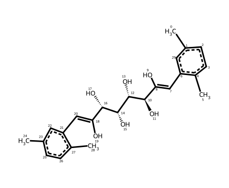 Cc1ccc(C)c(C=C(O)[C@@H](O)[C@@H](O)[C@H](O)[C@@H](O)C(O)=Cc2cc(C)ccc2C)c1